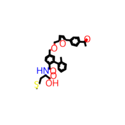 CSCCC(NC(=O)c1ccc(COCc2ccc(-c3ccc(C(C)=O)cc3)o2)cc1-c1ccccc1C)C(=O)O